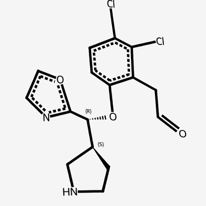 O=CCc1c(O[C@@H](c2ncco2)[C@H]2CCNC2)ccc(Cl)c1Cl